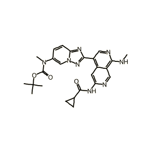 CNc1ncc(-c2nc3ccc(N(C)C(=O)OC(C)(C)C)cn3n2)c2cc(NC(=O)C3CC3)ncc12